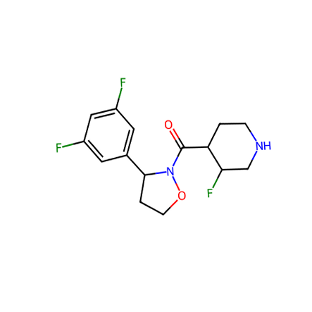 O=C(C1CCNCC1F)N1OCCC1c1cc(F)cc(F)c1